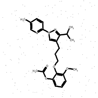 COc1cccc(OC(C)=O)c1OCCCc1cn(-c2ccc(C)cn2)nc1C(C)C